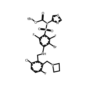 CC(C)(C)OC(=O)N(c1cscn1)S(=O)(=O)c1c(F)cc(NCc2c(Cl)ccc(F)c2CN2CCC2)c(Br)c1F